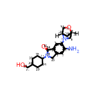 Nc1cc2c(cc1N1C[C@@H]3C[C@H]1CO3)C(=O)N(C1CCC(CO)CC1)C2